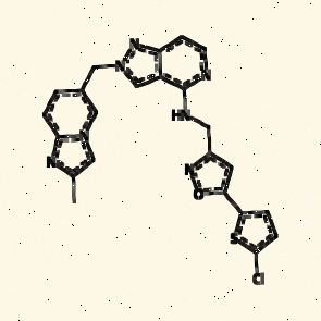 Cc1cn2cc(Cn3cc4c(NCc5cc(-c6ccc(Cl)s6)on5)nccc4n3)ccc2n1